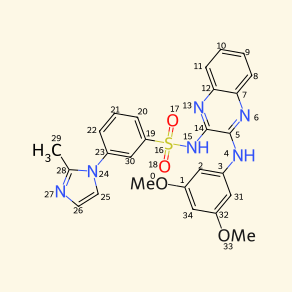 COc1cc(Nc2nc3ccccc3nc2NS(=O)(=O)c2cccc(-n3ccnc3C)c2)cc(OC)c1